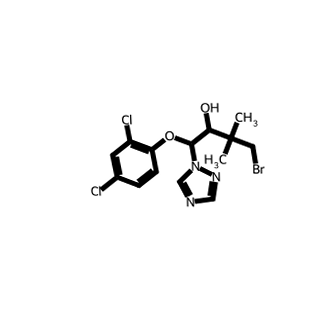 CC(C)(CBr)C(O)C(Oc1ccc(Cl)cc1Cl)n1cncn1